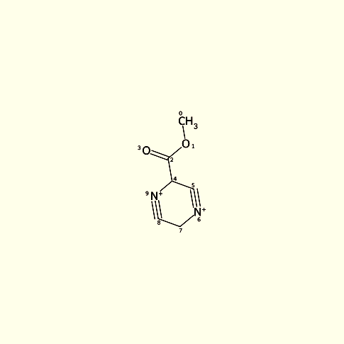 COC(=O)C1C#[N+]CC#[N+]1